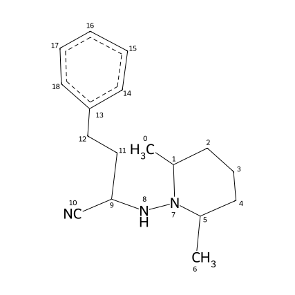 CC1CCCC(C)N1NC(C#N)CCc1ccccc1